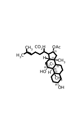 CC(=O)O[C@H]1C[C@@]2(C)[C@H](C[C@@H](O)[C@@H]3[C@@]4(C)CC[C@@H](O)CC4CC[C@@]32C)C1C(CCC=C(C)C)C(=O)O